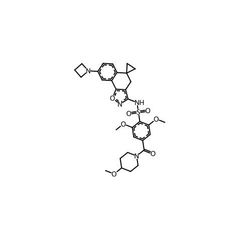 COc1cc(C(=O)N2CCC(OC)CC2)cc(OC)c1S(=O)(=O)Nc1noc2c1CC1(CC1)c1ccc(N3CCC3)cc1-2